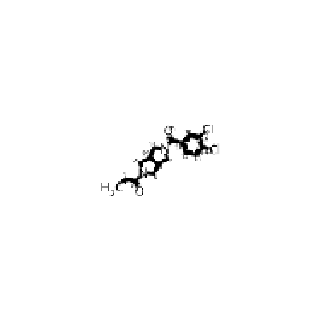 C=CC(=O)N1CC2CN(C(=O)c3ccc(Cl)c(Cl)c3)CC2C1